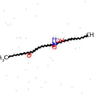 CCCCCCCCCCCCCCCCCC[C@@H](O)CNC(=O)CCCCCCCCCCCCCCCC(=O)CCCCCCCCCCCCC